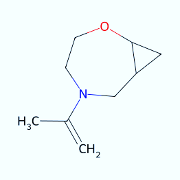 C=C(C)N1CCOC2CC2C1